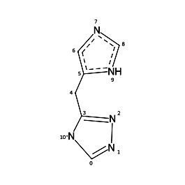 C1=NN=C(Cc2cnc[nH]2)[N]1